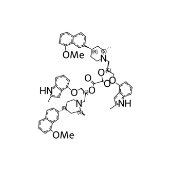 COc1cccc2ccc([C@@H]3CCN(C[C@@H](COc4cccc5[nH]c(C)cc45)OC(=O)C(=O)O[C@H](COc4cccc5[nH]c(C)cc45)CN4CC[C@@H](c5ccc6cccc(OC)c6c5)C[C@@H]4C)[C@@H](C)C3)cc12